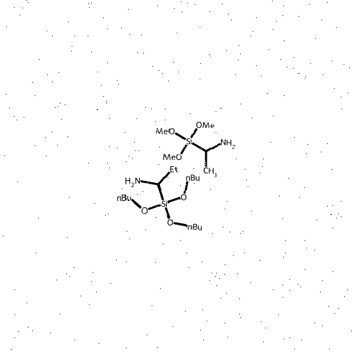 CCCCO[Si](OCCCC)(OCCCC)C(N)CC.CO[Si](OC)(OC)C(C)N